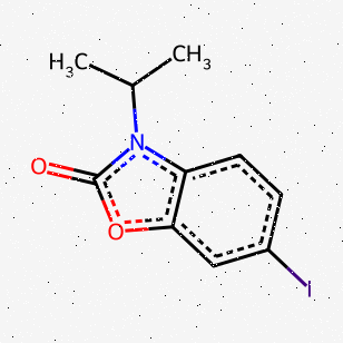 CC(C)n1c(=O)oc2cc(I)ccc21